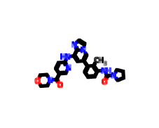 Cc1c(NC(=O)N2CCCC2)cccc1-c1cc(Nc2ccc(C(=O)N3CCOCC3)cn2)c2nccn2c1